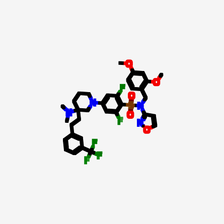 COc1ccc(CN(c2ccon2)S(=O)(=O)c2c(F)cc(N3CCCC(CCc4cccc(C(F)(F)F)c4)(N(C)C)C3)cc2F)c(OC)c1